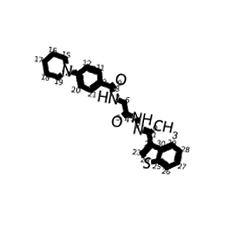 C/C(=N\NC(=O)CNC(=O)c1ccc(N2CCCCC2)cc1)c1csc2ccccc12